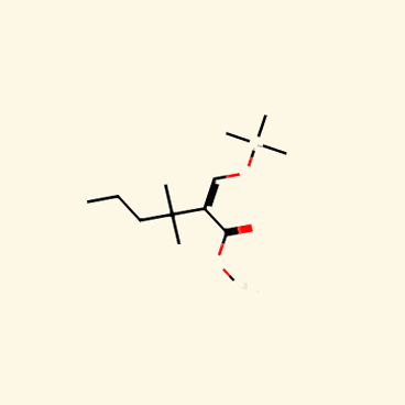 CCCC(C)(C)C(=CO[Si](C)(C)C)C(=O)O[SiH3]